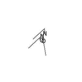 C=C(CCCCCCCCCCCCCCCC)CCCN(C)CCCN(CCCC(=C)CCCCCCCCCCCCCCCC)CCCC(=O)OCCCCCCCCCCCCCCC